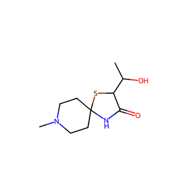 CC(O)C1SC2(CCN(C)CC2)NC1=O